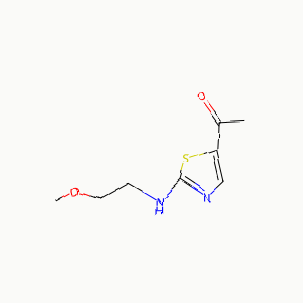 COCCNc1ncc(C(C)=O)s1